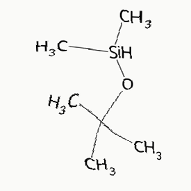 C[SiH](C)OC(C)(C)C